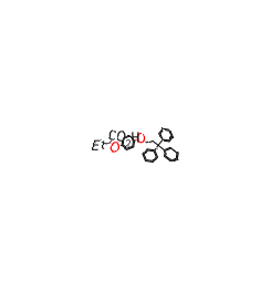 CCC(Oc1ccc(OCCC(c2ccccc2)(c2ccccc2)c2ccccc2)cc1)C(=O)O